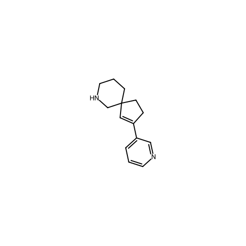 C1=C(c2cccnc2)CCC12CCCNC2